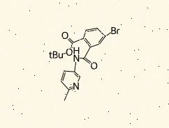 Cc1ccc(NC(=O)c2cc(Br)ccc2C(=O)OC(C)(C)C)cn1